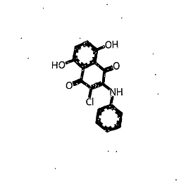 O=C1C(Cl)=C(Nc2ccccc2)C(=O)c2c(O)ccc(O)c21